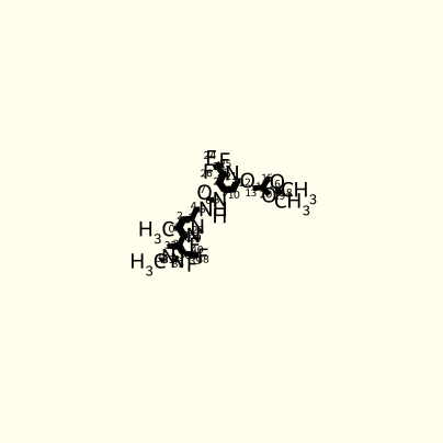 Cc1cc(CNC(=O)Nc2cc(OCC3COC(C)(C)O3)nc(C(F)(F)F)c2)nnc1-c1cn(C)nc1C(F)(F)F